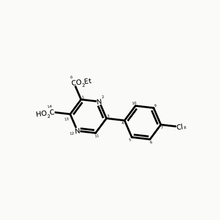 CCOC(=O)c1nc(-c2ccc(Cl)cc2)cnc1C(=O)O